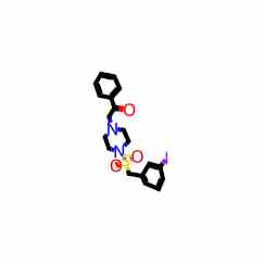 O=C(CN1CCN(S(=O)(=O)Cc2cccc(I)c2)CC1)c1ccccc1